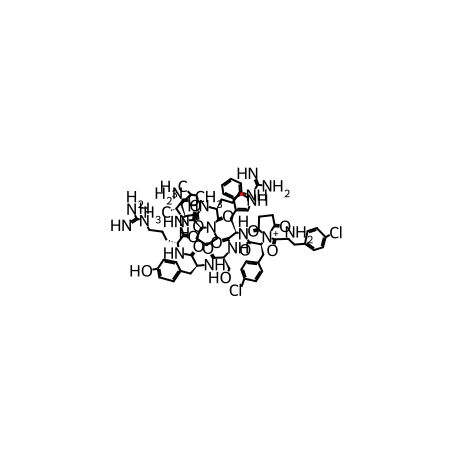 CC(C)C[C@H](NC(=O)[C@@H](CCCNC(=N)N)NC(=O)[C@H](Cc1ccc(O)cc1)NC(=O)[C@H](CO)NC(=O)[C@@H](Cc1c[nH]c2ccccc12)NC(=O)[C@H](Cc1ccc(Cl)cc1)[N+]1(C(=O)[C@@H](N)Cc2ccc(Cl)cc2)C(=O)CCC1=O)C(=O)N[C@@H](CCCNC(=N)N)C(=O)N1CCC[C@H]1C(=O)N[C@H](C)C(N)=O